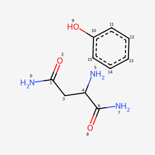 NC(=O)CC(N)C(N)=O.Oc1ccccc1